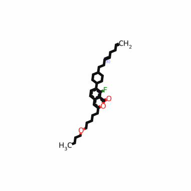 C=CCC/C=C/CCC1CCC(c2ccc3cc(CCCCCOCCCC)oc(=O)c3c2F)CC1